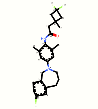 Cc1cc(N2CCCc3cc(F)ccc3C2)cc(C)c1NC(=O)CC1(C)CC(F)(F)C1